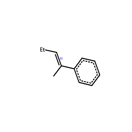 CC/C=C(\C)c1ccccc1